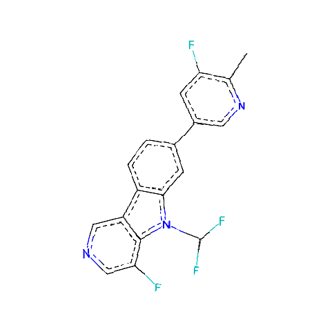 Cc1ncc(-c2ccc3c4cncc(F)c4n(C(F)F)c3c2)cc1F